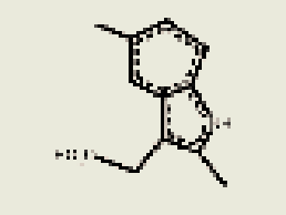 Cc1ccc2[nH]c(I)c(CC(=O)O)c2c1